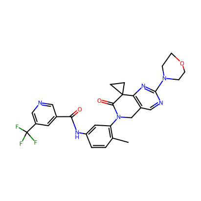 Cc1ccc(NC(=O)c2cncc(C(F)(F)F)c2)cc1N1Cc2cnc(N3CCOCC3)nc2C2(CC2)C1=O